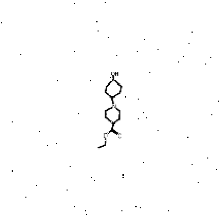 CCOC(=O)C1CCN(C2CCC(O)CC2)CC1